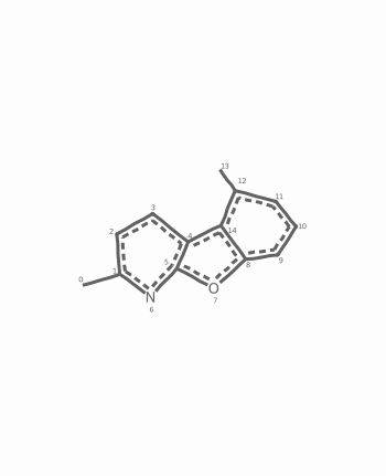 Cc1ccc2c(n1)oc1cccc(C)c12